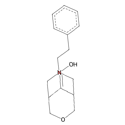 ON=C1C2COCC1CN(CCc1ccccc1)C2